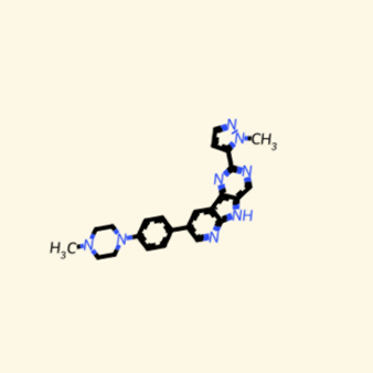 CN1CCN(c2ccc(-c3cnc4[nH]c5cnc(-c6ccnn6C)nc5c4c3)cc2)CC1